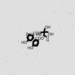 O=C([O-])c1ccc(O)cc1.O=C([O-])c1ccc(O)cc1.OCC(CO)(CO)CO.[Zn+2]